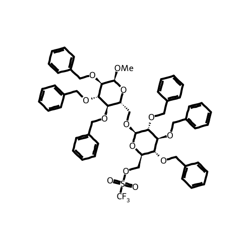 CO[C@H]1O[C@H](CO[C@@H]2O[C@H](COS(=O)(=O)C(F)(F)F)[C@@H](OCc3ccccc3)[C@H](OCc3ccccc3)[C@H]2OCc2ccccc2)[C@@H](OCc2ccccc2)[C@H](OCc2ccccc2)[C@H]1OCc1ccccc1